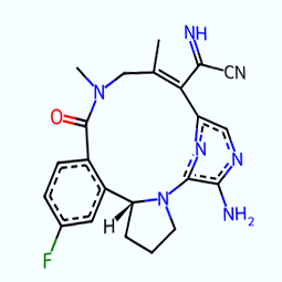 C/C1=C(\C(=N)C#N)c2cnc(N)c(n2)N2CCC[C@@H]2c2cc(F)ccc2C(=O)N(C)C1